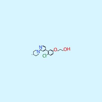 OCCCOc1ccc(Cl)c(-c2ccnc(N3CC[CH]CC3)c2)c1